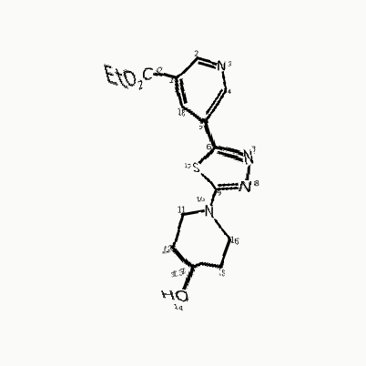 CCOC(=O)c1cncc(-c2nnc(N3CCC(O)CC3)s2)c1